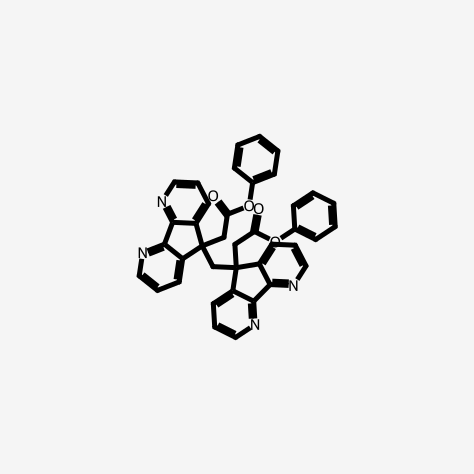 O=C(CC1(CC2(CC(=O)Oc3ccccc3)c3cccnc3-c3ncccc32)c2cccnc2-c2ncccc21)Oc1ccccc1